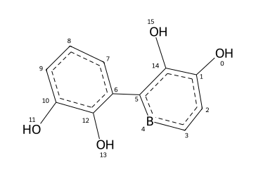 Oc1ccbc(-c2cccc(O)c2O)c1O